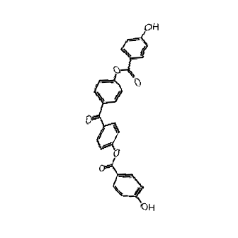 O=C(Oc1ccc(C(=O)c2ccc(OC(=O)c3ccc(O)cc3)cc2)cc1)c1ccc(O)cc1